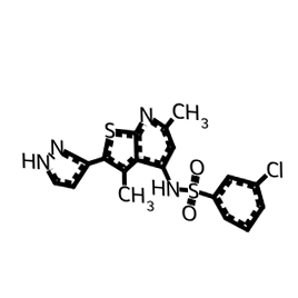 Cc1cc(NS(=O)(=O)c2cccc(Cl)c2)c2c(C)c(-c3cc[nH]n3)sc2n1